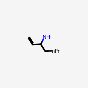 C=CC([NH])CCCC